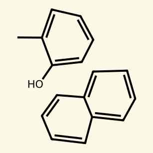 Cc1ccccc1O.c1ccc2ccccc2c1